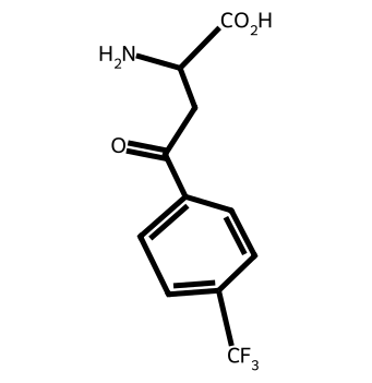 NC(CC(=O)c1ccc(C(F)(F)F)cc1)C(=O)O